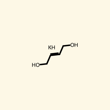 OCC=CCO.[KH]